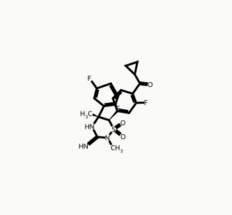 CN1C(=N)N[C@](C)(c2cc(F)ccc2F)[C@@H](c2ccc(C(=O)C3CC3)c(F)c2)S1(=O)=O